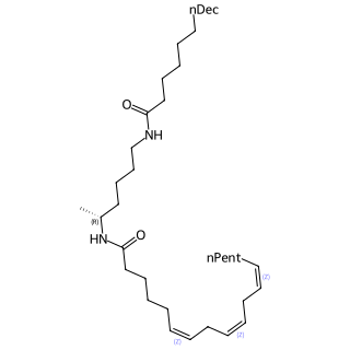 CCCCC/C=C\C/C=C\C/C=C\CCCCC(=O)N[C@H](C)CCCCNC(=O)CCCCCCCCCCCCCCC